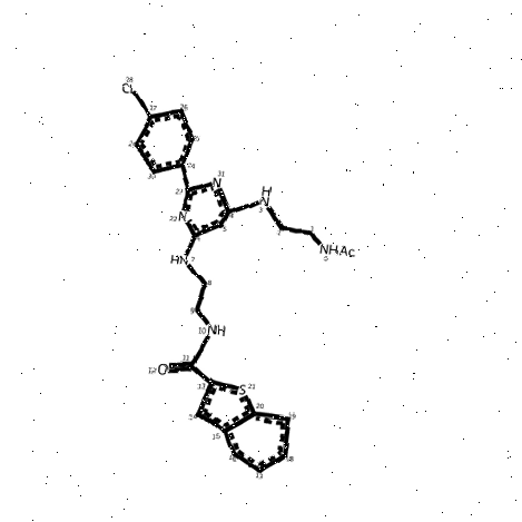 CC(=O)NCCNc1cc(NCCNC(=O)c2cc3ccccc3s2)nc(-c2ccc(Cl)cc2)n1